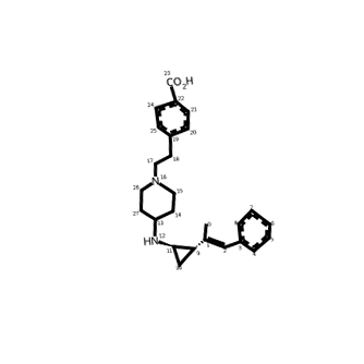 C/C(=C\c1ccccc1)[C@@H]1C[C@H]1NC1CCN(CCc2ccc(C(=O)O)cc2)CC1